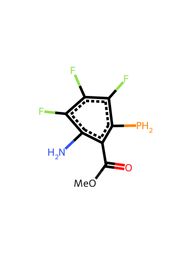 COC(=O)c1c(N)c(F)c(F)c(F)c1P